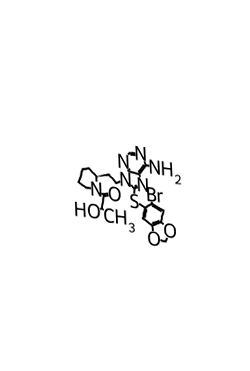 C[C@H](O)C(=O)N1CCCC[C@H]1CCn1c(Sc2cc3c(cc2Br)OCO3)nc2c(N)ncnc21